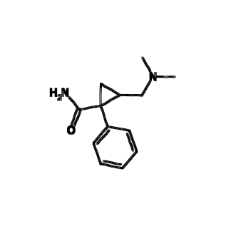 CN(C)CC1CC1(C(N)=O)c1ccccc1